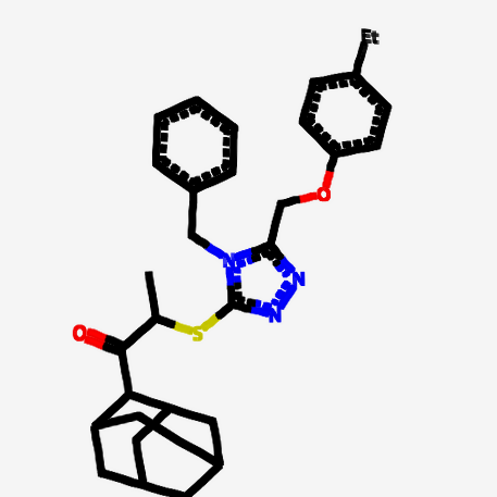 CCc1ccc(OCc2nnc(SC(C)C(=O)C3C4CC5CC(C4)CC3C5)n2Cc2ccccc2)cc1